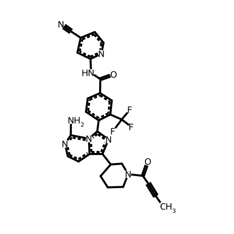 CC#CC(=O)N1CCCC(c2nc(-c3ccc(C(=O)Nc4cc(C#N)ccn4)cc3C(F)(F)F)n3c(N)nccc23)C1